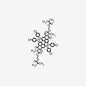 C=C(C)C(=O)OCCOC(=O)C(C)N1C(=O)c2cc(Oc3ccc(Cl)cc3)c3c4c(Oc5ccc(Cl)cc5)cc5c6c(cc(Oc7ccc(Cl)cc7)c(c7c(Oc8ccc(Cl)cc8)cc(c2c37)C1=O)c64)C(=O)N(C(C)C(=O)OCCOC(=O)C(=C)C)C5=O